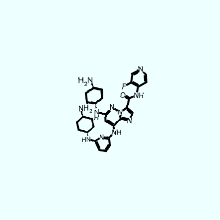 N[C@H]1CC[C@H](Nc2cccc(Nc3cc(N[C@H]4CC[C@H](N)CC4)nn4c(C(=O)Nc5ccncc5F)cnc34)n2)CC1